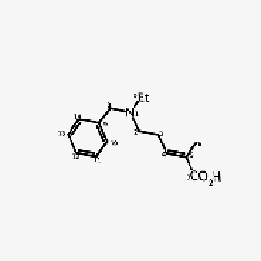 CCN(CCC=C(C)C(=O)O)Cc1ccccc1